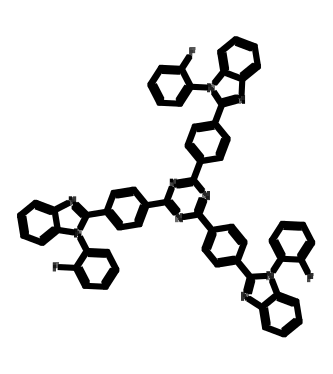 Fc1ccccc1-n1c(-c2ccc(-c3nc(-c4ccc(-c5nc6ccccc6n5-c5ccccc5F)cc4)nc(-c4ccc(-c5nc6ccccc6n5-c5ccccc5F)cc4)n3)cc2)nc2ccccc21